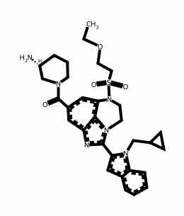 CCOCCS(=O)(=O)N1CCn2c(-c3cc4ccccc4n3CC3CC3)nc3cc(C(=O)N4CCC[C@@H](N)C4)cc1c32